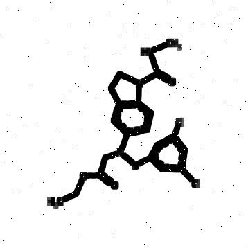 CCOC(=O)CN(Sc1cc(Cl)cc(Cl)c1)c1ccc2c(c1)CCN2C(=O)NC